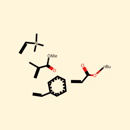 C=C(C)C(=O)OC.C=CC(=O)OCCCC.C=C[Si](C)(C)C.C=Cc1ccccc1